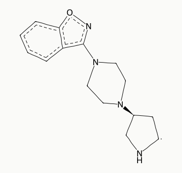 [CH]1C[C@H](N2CCN(c3noc4ccccc34)CC2)CN1